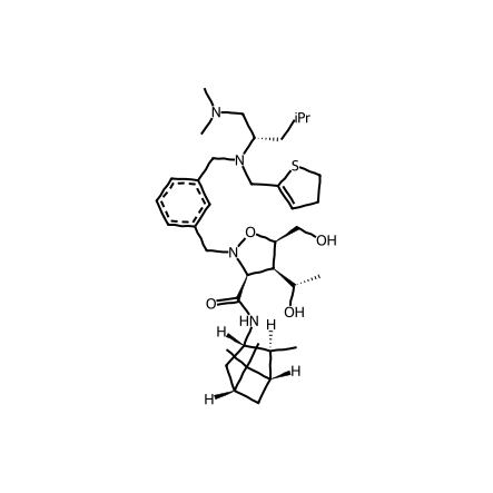 CC(C)C[C@@H](CN(C)C)N(CC1=CCCS1)Cc1cccc(CN2O[C@@H](CO)[C@@H]([C@H](C)O)[C@H]2C(=O)N[C@H]2C[C@H]3C[C@@H]([C@@H]2C)C3(C)C)c1